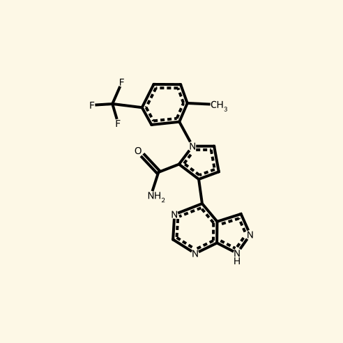 Cc1ccc(C(F)(F)F)cc1-n1ccc(-c2ncnc3[nH]ncc23)c1C(N)=O